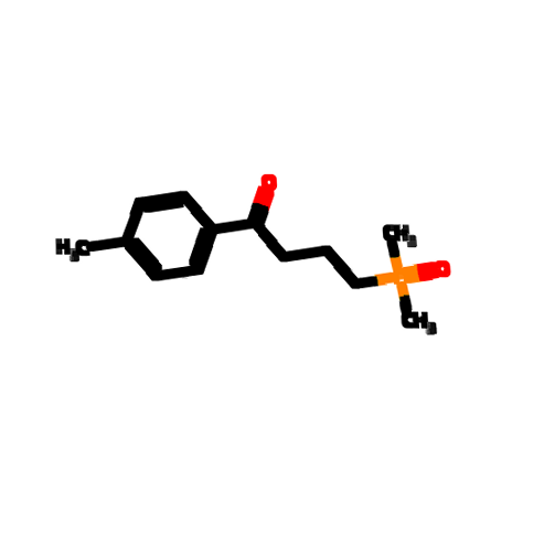 Cc1ccc(C(=O)CCCP(C)(C)=O)cc1